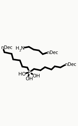 CCCCCCCCCCCCCCCCP(O)(O)(O)CCCCCCCCCCCCCCCC.CCCCCCCCCCCCCCN